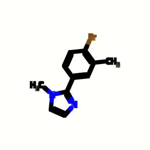 Cc1cc(-c2nccn2C)ccc1Br